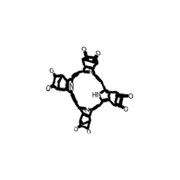 O=C1C(=O)C2C=CC1C1=C2c2cc3[nH]c(cc4nc(cc5[nH]c(cc1n2)c1c5C2C=CC1C(=O)C2=O)C1=C4C2CC1C(=O)C2=O)c1c3C2CC1C(=O)C2=O